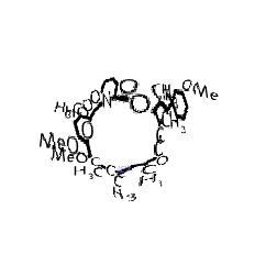 COC1CCCC(I)(C=C(C)C2OC(=O)C3CCCCN3C(=O)C(=O)C3(O)OC(C(OC)CC(C)C/C(C)=C/C(C)C(=O)CCC2C)C(OC)CC3C)C1